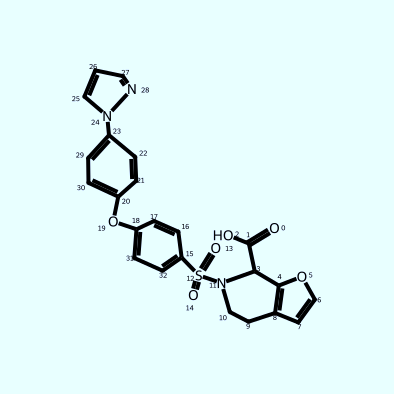 O=C(O)C1c2occc2CCN1S(=O)(=O)c1ccc(Oc2ccc(-n3cccn3)cc2)cc1